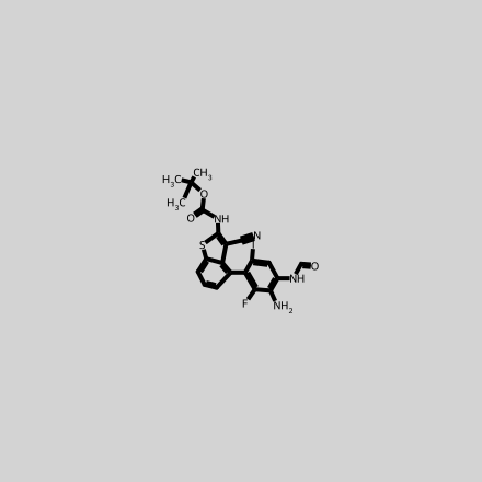 CC(C)(C)OC(=O)Nc1sc2cccc(-c3c(I)cc(NC=O)c(N)c3F)c2c1C#N